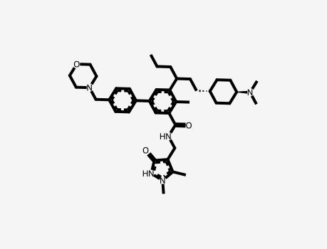 CCCC(CC[C@H]1CC[C@H](N(C)C)CC1)c1cc(-c2ccc(CN3CCOCC3)cc2)cc(C(=O)NCc2c(C)n(C)[nH]c2=O)c1C